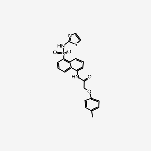 Cc1ccc(OCC(=O)Nc2cccc3c(S(=O)(=O)Nc4nccs4)cccc23)cc1